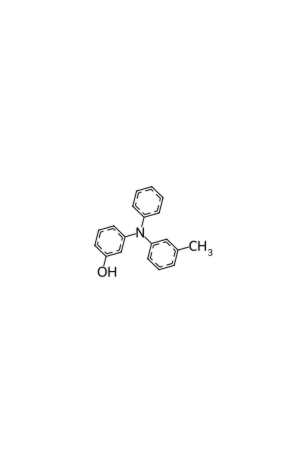 Cc1cccc(N(c2ccccc2)c2cccc(O)c2)c1